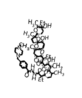 CC[C@@H](C(=O)[C@@H](C)[C@@H](O)[C@H](C)[C@@H]1O[C@@H]([C@@H](CC)C(=O)NNC(=O)c2ccc(CN3CCN(C)CC3)cc2)CCC1C)[C@H]1O[C@]2(C=C[C@@H](O)[C@]3(CC[C@@](C)([C@H]4CC[C@](O)(CC)[C@H](C)O4)O3)O2)[C@H](C)C[C@@H]1C